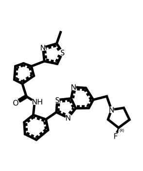 Cc1nc(-c2cccc(C(=O)Nc3ccccc3-c3nc4cc(CN5CC[C@@H](F)C5)cnc4s3)c2)cs1